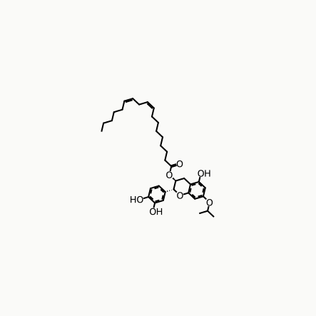 CCCCC/C=C\C/C=C\CCCCCCCC(=O)O[C@H]1Cc2c(O)cc(OC(C)C)cc2O[C@@H]1c1ccc(O)c(O)c1